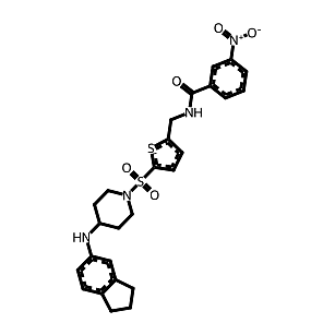 O=C(NCc1ccc(S(=O)(=O)N2CCC(Nc3ccc4c(c3)CCC4)CC2)s1)c1cccc([N+](=O)[O-])c1